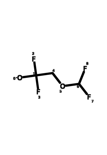 [O]C(F)(F)COC(F)F